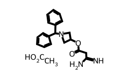 CC(=O)O.N=C(N)CC(=O)OC1CN(C(c2ccccc2)c2ccccc2)C1